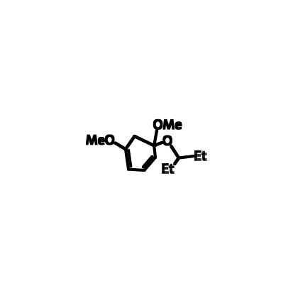 CCC(CC)OC1(OC)C=CC=C(OC)C1